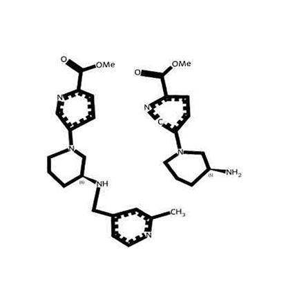 COC(=O)c1ccc(N2CCC[C@H](N)C2)cn1.COC(=O)c1ccc(N2CCC[C@H](NCc3ccnc(C)c3)C2)cn1